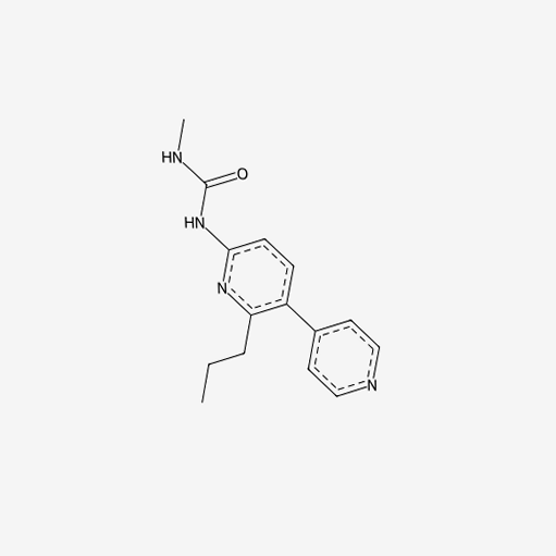 CCCc1nc(NC(=O)NC)ccc1-c1ccncc1